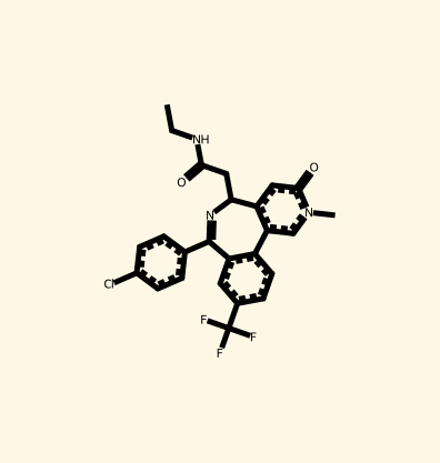 CCNC(=O)CC1N=C(c2ccc(Cl)cc2)c2cc(C(F)(F)F)ccc2-c2cn(C)c(=O)cc21